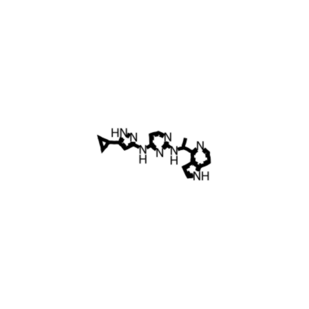 CC(Nc1nccc(Nc2cc(C3CC3)[nH]n2)n1)c1nccc2[nH]ccc12